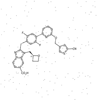 N#Cc1cc(COc2cccc(-c3cc(F)c(Cc4nc5ccc(C(=O)O)cc5n4C[C@@H]4CCO4)cc3F)n2)cs1